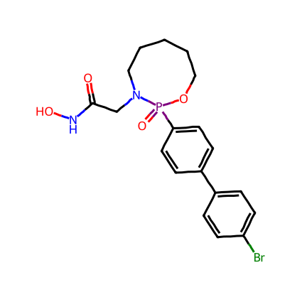 O=C(CN1CCCCCOP1(=O)c1ccc(-c2ccc(Br)cc2)cc1)NO